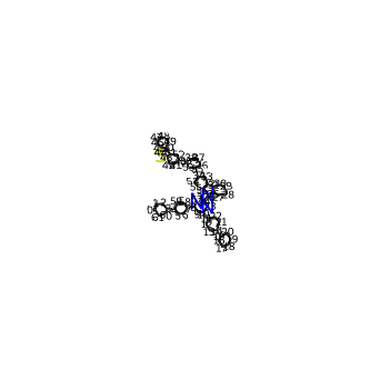 c1ccc(-c2ccc(-c3cc(-c4ccc(-c5ccccc5)cc4)nc(-n4c5ccccc5c5cc(-c6cccc(-c7ccc8sc9ccccc9c8c7)c6)ccc54)n3)cc2)cc1